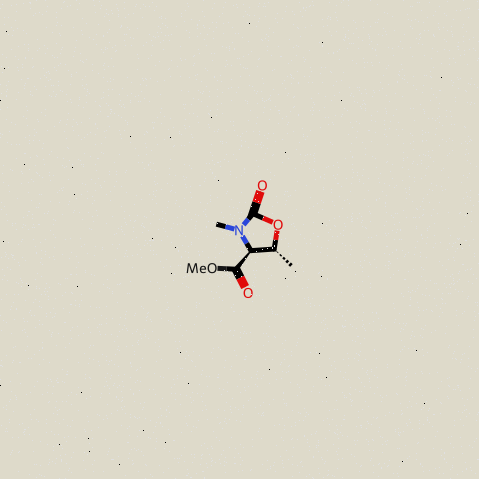 COC(=O)[C@@H]1[C@@H](C)OC(=O)N1C